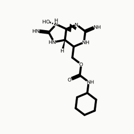 N=C1N[C@H]2C(COC(=O)NC3CCCCC3)NC(=N)N3CC[C@H](O)C23N1